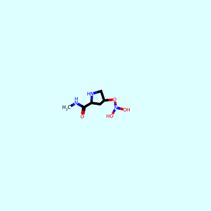 CNC(=O)C1CC(ON(O)O)CN1